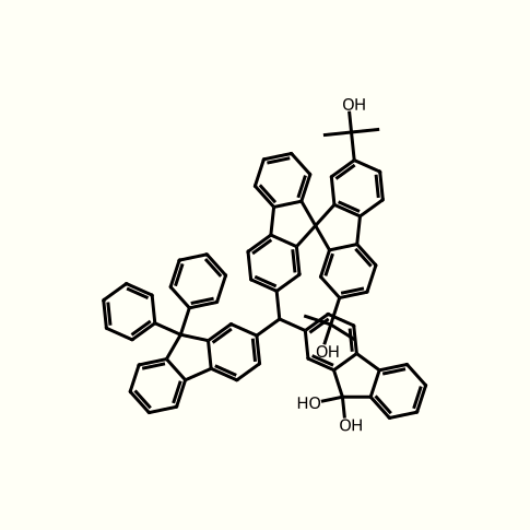 CC(C)(O)c1ccc2c(c1)C1(c3ccccc3-c3ccc(C(c4ccc5c(c4)C(O)(O)c4ccccc4-5)c4ccc5c(c4)C(c4ccccc4)(c4ccccc4)c4ccccc4-5)cc31)c1cc(C(C)(C)O)ccc1-2